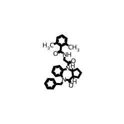 Cc1cccc(C)c1C(=O)NCC(=O)N1c2ccccc2N(Cc2ccccc2)C(=O)[C@H]2CCC[C@H]21